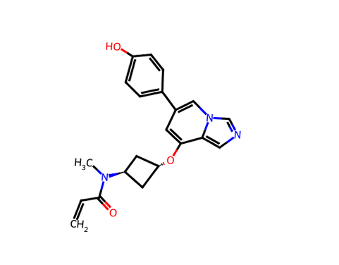 C=CC(=O)N(C)[C@H]1C[C@H](Oc2cc(-c3ccc(O)cc3)cn3cncc23)C1